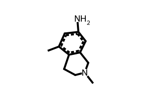 Cc1cc(N)cc2c1CCN(C)C2